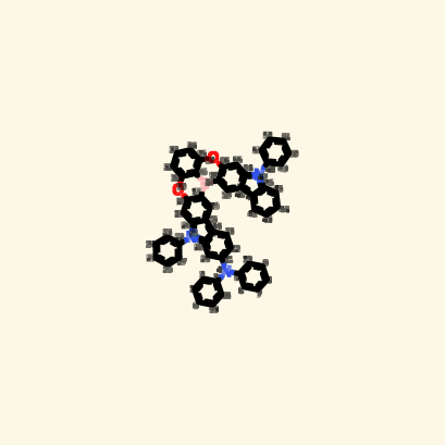 c1ccc(N(c2ccccc2)c2ccc3c4cc5c(cc4n(-c4ccccc4)c3c2)Oc2cccc3c2B5c2cc4c5ccccc5n(-c5ccccc5)c4cc2O3)cc1